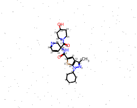 Cc1nn(C2CCCCC2)c2sc(C(=O)NC3(C(=O)N4CCC(O)CC4)C=CC=NC3)cc12